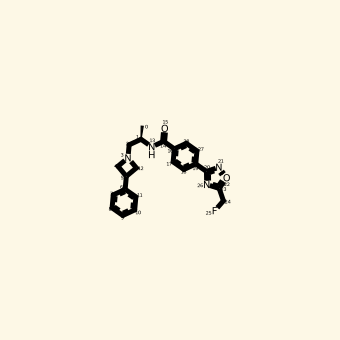 C[C@H](CN1CC(c2ccccc2)C1)NC(=O)c1ccc(-c2noc(CF)n2)cc1